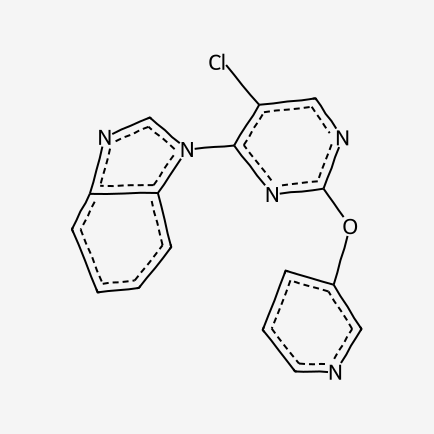 Clc1cnc(Oc2cccnc2)nc1-n1cnc2ccccc21